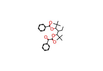 CCC(C(OC(=O)C(=O)c1ccccc1)C(C)(C)C)C(OC(=O)c1ccccc1)C(C)(C)C